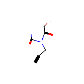 C#CCN(C(N)=O)C(=O)CO